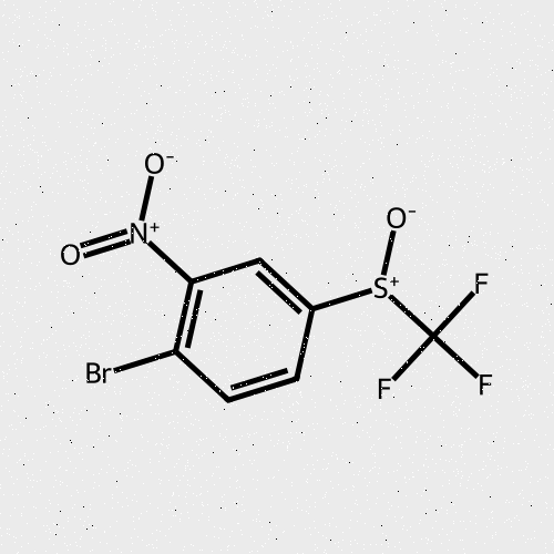 O=[N+]([O-])c1cc([S+]([O-])C(F)(F)F)ccc1Br